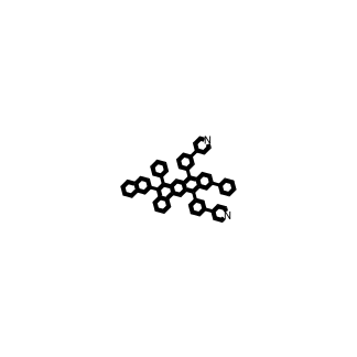 c1ccc(-c2ccc3c(-c4cccc(-c5ccncc5)c4)c4cc5c(-c6ccccc6)c(-c6ccc7ccccc7c6)c6ccccc6c5cc4c(-c4cccc(-c5ccncc5)c4)c3c2)cc1